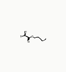 CCCCOC(=S)C(F)F